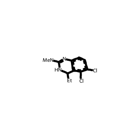 CCC1NC(NC)=Nc2ccc(Cl)c(Cl)c21